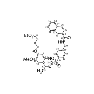 CCOC(=O)CCCOc1cc([N+](=O)[O-])c(C(C)ONC(=O)c2ccc(CNC(=O)c3ccc4ccccc4c3)cc2)cc1OC